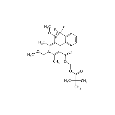 COCN1C(C)=C(C(=O)OC)C(c2ccccc2C(F)(F)F)C(C(=O)OCOC(=O)C(C)(C)C)=C1C